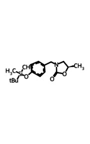 C[C@@H]1CN(Cc2ccc(O[Si](C)(C)C(C)(C)C)cc2)C(=O)O1